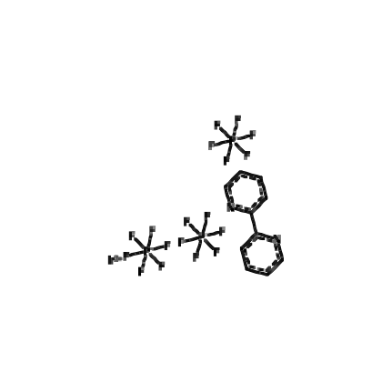 F[P-](F)(F)(F)(F)F.F[P-](F)(F)(F)(F)F.F[P-](F)(F)(F)(F)F.[Ir+3].c1ccc(-c2ccccn2)nc1